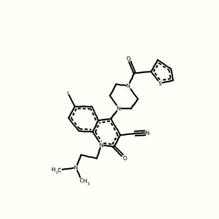 CN(C)CCn1c(=O)c(C#N)c(N2CCN(C(=O)c3cccs3)CC2)c2cc(I)ccc21